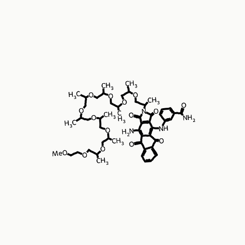 COCCOCC(C)OCC(C)OCC(C)OCC(C)OCC(C)OCC(C)OCC(C)OCC(C)OCC(C)n1c(=O)c2c(N)c3c(=O)c4ccccc4c(=O)c3c(Nc3cccc(C(N)=O)c3)c2c1=O